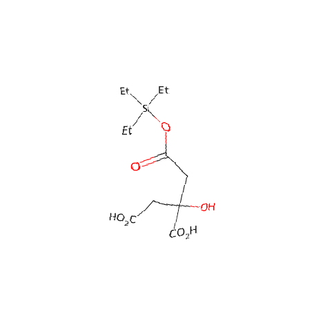 CC[Si](CC)(CC)OC(=O)CC(O)(CC(=O)O)C(=O)O